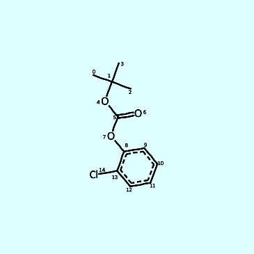 CC(C)(C)OC(=O)Oc1ccccc1Cl